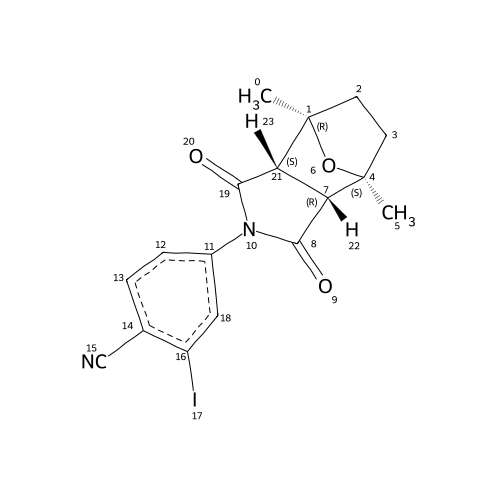 C[C@]12CC[C@](C)(O1)[C@@H]1C(=O)N(c3ccc(C#N)c(I)c3)C(=O)[C@@H]12